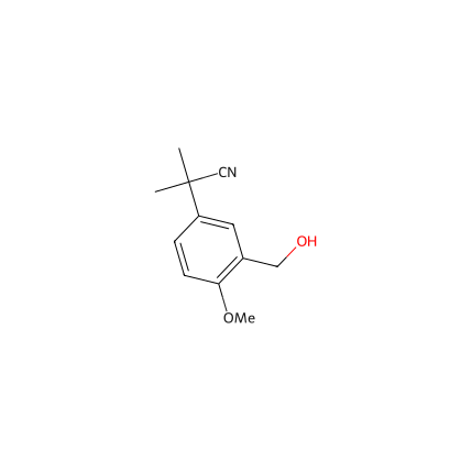 COc1ccc(C(C)(C)C#N)cc1CO